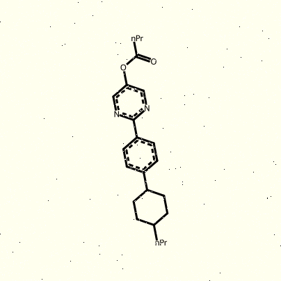 CCCC(=O)Oc1cnc(-c2ccc(C3CCC(CCC)CC3)cc2)nc1